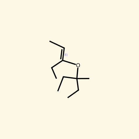 C/C=C(\CC)OC(C)(CC)CC